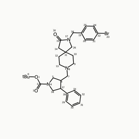 CC(C)(C)OC(=O)N1CC(CN2CCC3(CC2)CC(=O)N(Cc2ccc(Br)cc2)C3)C(c2ccccc2)C1